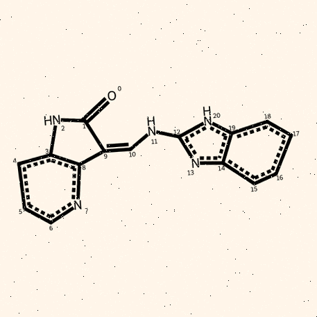 O=C1Nc2cccnc2C1=CNc1nc2ccccc2[nH]1